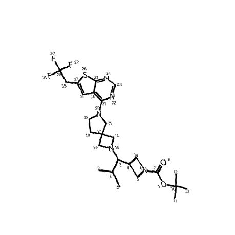 CC(C)C(C1CN(C(=O)OC(C)(C)C)C1)N1CC2(CCN(c3ncnc4sc(CC(F)(F)F)cc34)C2)C1